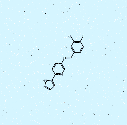 Fc1ccc(COc2ccc(-c3ccn[nH]3)nc2)cc1Cl